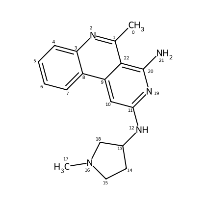 Cc1nc2ccccc2c2cc(NC3CCN(C)C3)nc(N)c12